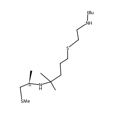 CSC[C@@H](C)NC(C)(C)CCCSCCNC(C)(C)C